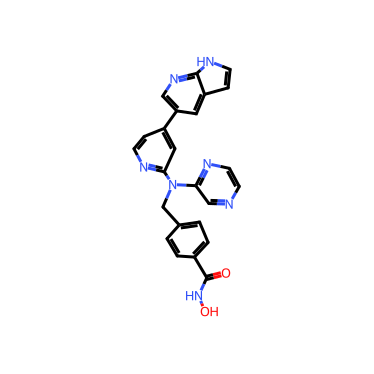 O=C(NO)c1ccc(CN(c2cnccn2)c2cc(-c3cnc4[nH]ccc4c3)ccn2)cc1